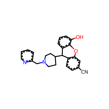 N#Cc1ccc2c(c1)Oc1c(O)cccc1C2C1CCN(Cc2ccccn2)CC1